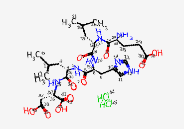 CC(C)C[C@H](NC(=O)[C@H](Cc1c[nH]cn1)NC(=O)[C@H](CC(C)C)NC(=O)[C@@H](N)CCC(=O)O)C(=O)N[C@@H](CC(=O)O)C(=O)O.Cl.Cl